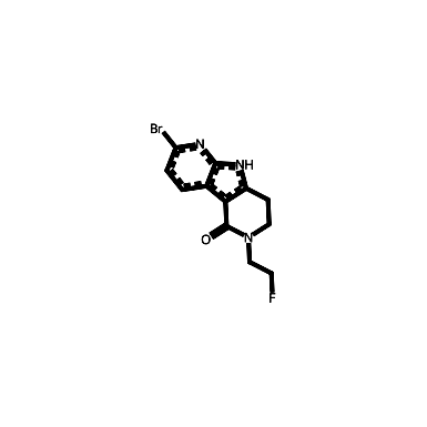 O=C1c2c([nH]c3nc(Br)ccc23)CCN1CCF